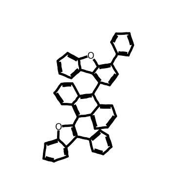 c1ccc(-c2c(-c3c4ccccc4c(-c4ccc(-c5ccccc5)c5oc6ccccc6c45)c4ccccc34)oc3ccccc23)cc1